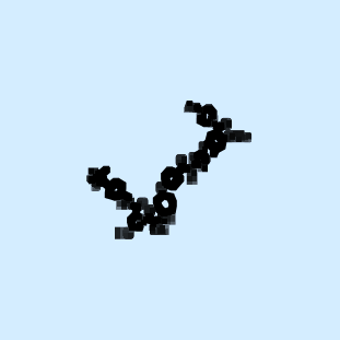 COc1cc(C)c(Sc2cnc(NC(=O)c3ccc(OC4CCC[C@@H](N[C@H](C(=O)N5C[C@H](O)CC5C(=O)NCc5ccc(-c6scnc6C)cc5)C(C)(C)C)CC4)cc3)s2)cc1C(=O)N1CCN(C(C)=O)CC1